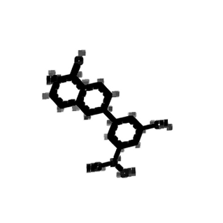 Cc1cc(B(O)O)cc(-c2ccc3c(=O)[nH]ccc3c2)c1